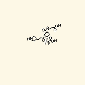 CN(CCC(=O)O)C(=O)[C@@H]1CCCN(C(=O)CCC2CCNCC2)C1.O=C(O)C(F)(F)F